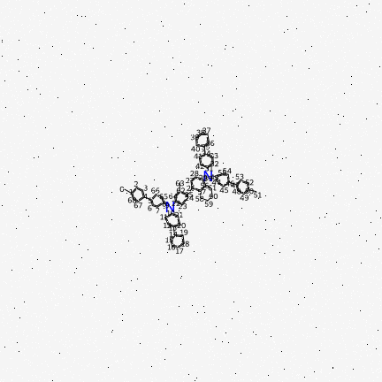 Cc1ccc(-c2ccc(N(c3ccc(-c4ccccc4)cc3)c3ccc(-c4ccc(N(c5ccc(-c6ccccc6)cc5)c5ccc(-c6ccc(C)cc6)cc5)c5c4CCCC5)c(C)c3)cc2)cc1